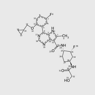 Cc1[nH]c2c(-c3cc(F)ccc3OCC3CC3)ncnc2c1C(=O)N[C@H]1CC[C@H](NC(=O)CO)C[C@H]1F